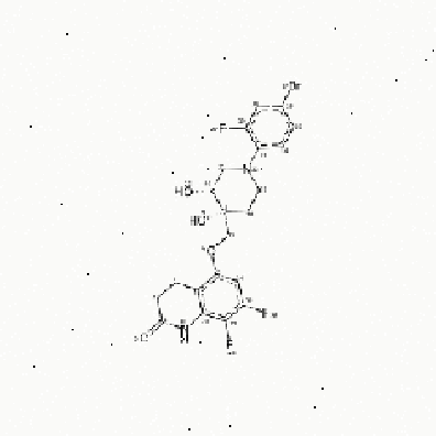 O=C1CCc2c(OC[C@]3(O)CCN(c4ccc(Br)cc4F)C[C@H]3O)cc(F)c(F)c2N1